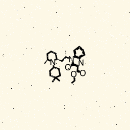 CCOC(=O)c1nc2ccccc2n([C@@H](C)C[C@@H]2CCC[C@H](C)N2C2CCC(C)(C)CC2)c1=O